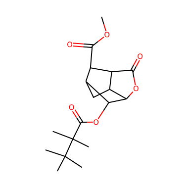 COC(=O)C1C2CC3C(OC(=O)C31)C2OC(=O)C(C)(C)C(C)(C)C